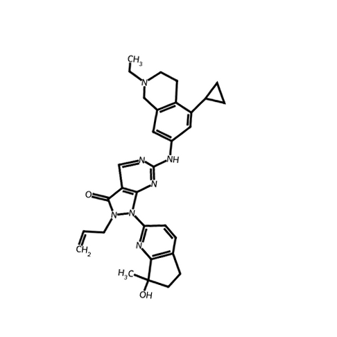 C=CCn1c(=O)c2cnc(Nc3cc4c(c(C5CC5)c3)CCN(CC)C4)nc2n1-c1ccc2c(n1)C(C)(O)CC2